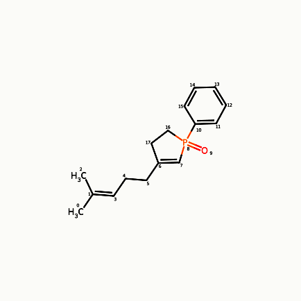 CC(C)=CCCC1=CP(=O)(c2ccccc2)CC1